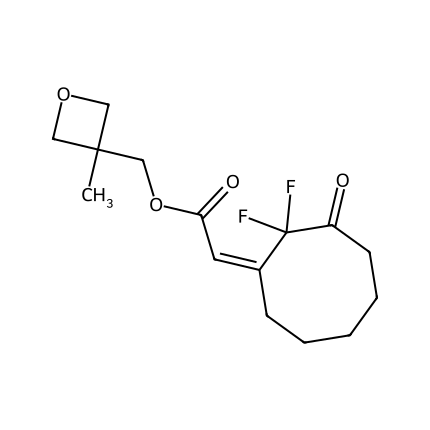 CC1(COC(=O)C=C2CCCCCC(=O)C2(F)F)COC1